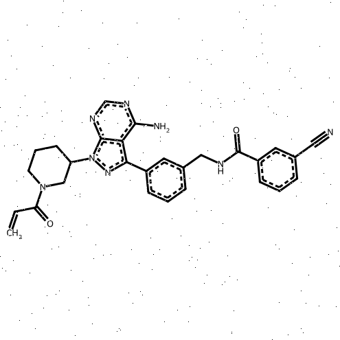 C=CC(=O)N1CCCC(n2nc(-c3cccc(CNC(=O)c4cccc(C#N)c4)c3)c3c(N)ncnc32)C1